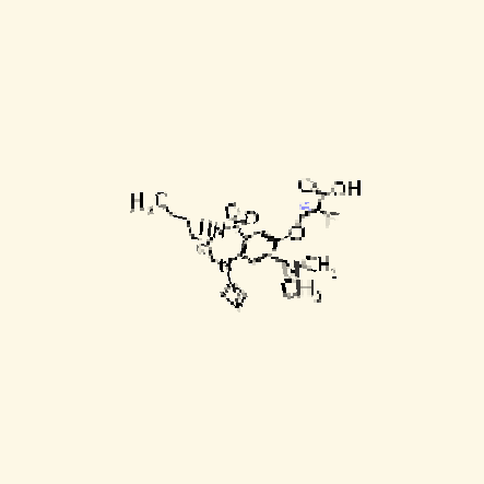 CCCC[C@@H]1CN(C23CC(C2)C3)c2cc(N(C)C)c(O/C=C(\F)C(=O)O)cc2S(=O)(=O)N1